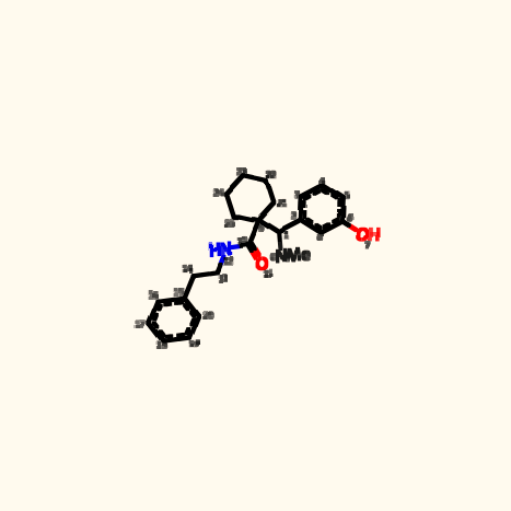 CNC(c1cccc(O)c1)C1(C(=O)NCCc2ccccc2)CCCCC1